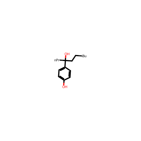 CCCC(O)(CCC(C)CC)c1ccc(O)cc1